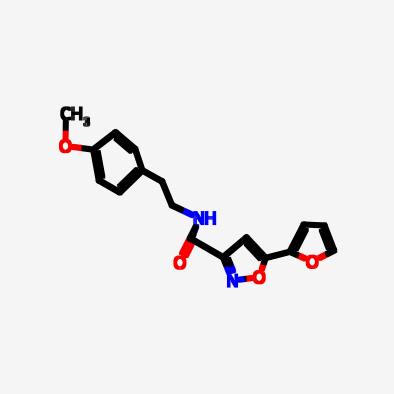 COc1ccc(CCNC(=O)c2cc(-c3ccco3)on2)cc1